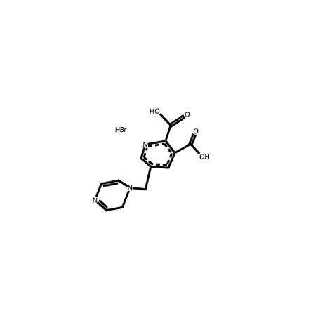 Br.O=C(O)c1cc(CN2C=CN=CC2)cnc1C(=O)O